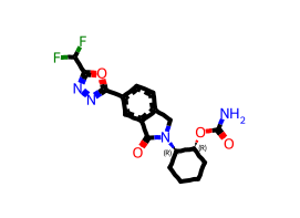 NC(=O)O[C@@H]1CCCC[C@H]1N1Cc2ccc(-c3nnc(C(F)F)o3)cc2C1=O